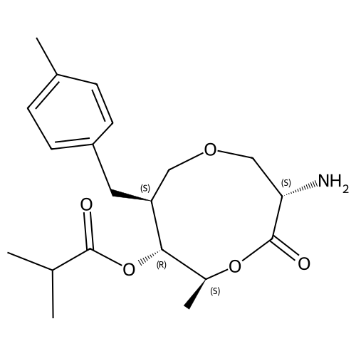 Cc1ccc(C[C@H]2COC[C@H](N)C(=O)O[C@@H](C)[C@@H]2OC(=O)C(C)C)cc1